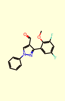 COc1c(F)cc(F)cc1-c1nn(-c2ccccc2)cc1C=O